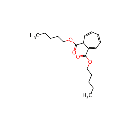 CCCCCOC(=O)C1=CC=CC=CC1C(=O)OCCCCC